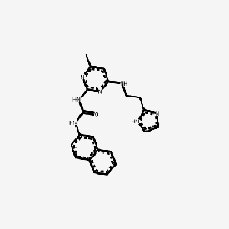 Cc1cc(NCCc2ncc[nH]2)nc(NC(=O)Nc2ccc3ccccc3c2)n1